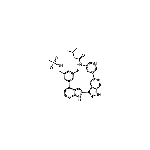 CC(C)CC(=O)Nc1cncc(-c2cc3c(-c4cc5c(-c6cc(F)cc(CNS(C)(=O)=O)c6)cccc5[nH]4)n[nH]c3cn2)c1